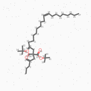 C=C(CCC)CC(CC(=C)CCCCCCCC/C=C\CCCCCCCC)(C(=O)OC(C)(C)C)C(=O)OC(C)(C)C